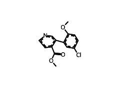 COC(=O)c1ccncc1-c1cc(Cl)ccc1OC